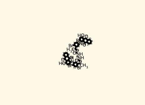 CC(OC(=O)NCNC(=O)OC(C)c1cc(Nc2ccc(O)c3c2C(=O)c2ccccc2C3=O)c(Br)cc1Br)c1cc(Nc2ccc(O)c3c2C(=O)c2ccccc2C3=O)c(Br)cc1Br